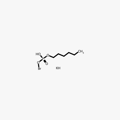 CCCCCCOP(=O)(O)OBr.[KH]